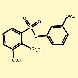 COc1cccc(OS(=O)(=O)c2cccc(C(=O)O)c2C(=O)O)c1